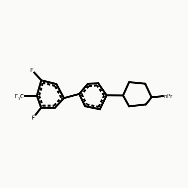 CCCC1CCC(c2ccc(-c3cc(F)c(C(F)(F)F)c(F)c3)cc2)CC1